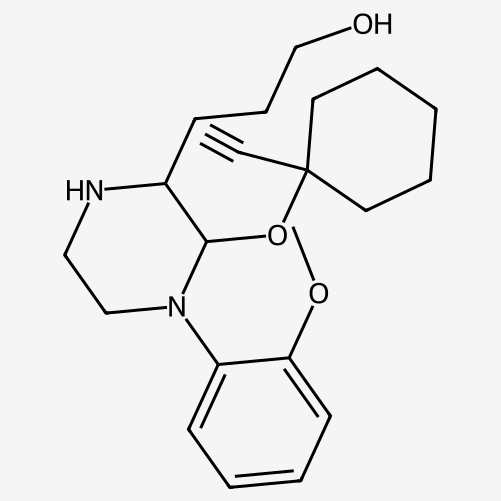 C#CC1(OC2C(CCCO)NCCN2c2ccccc2OC)CCCCC1